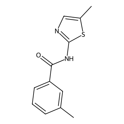 Cc1cccc(C(=O)Nc2ncc(C)s2)c1